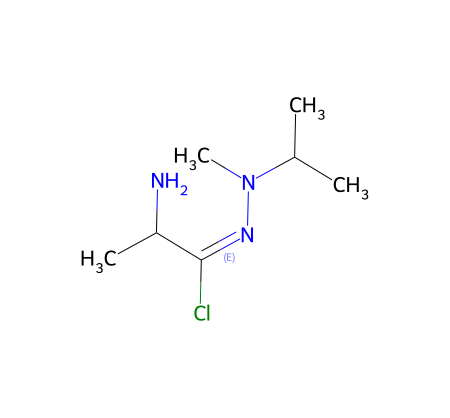 CC(N)/C(Cl)=N\N(C)C(C)C